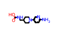 Nc1ccc(N2CCC(CNC(=O)O)CC2)cn1